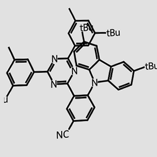 Cc1cc(-c2nc(-c3cc(C)cc(C(C)(C)C)c3)nc(-c3cc(C#N)ccc3-n3c4ccc(C(C)(C)C)cc4c4cc(C(C)(C)C)ccc43)n2)cc(C(C)(C)C)c1